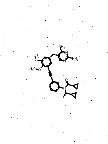 COc1cc(Cc2cnc(N)nc2N)cc(C#Cc2cccc(N(C(=O)C3CC3)C(=O)C3CC3)c2)c1OC